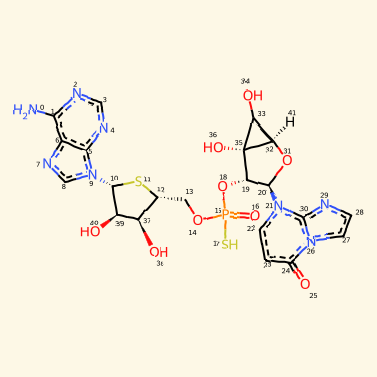 Nc1ncnc2c1ncn2[C@@H]1S[C@H](COP(=O)(S)O[C@H]2[C@H](n3ccc(=O)n4ccnc34)O[C@@H]3C(O)[C@@]32O)[C@@H](O)[C@H]1O